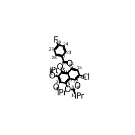 CC(C)Oc1c(OC(C)C)c(OC(=O)C(C)C)c2cc(Cl)ccc2c1OC(=O)c1ccc(F)cc1